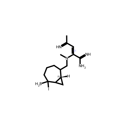 BC1(I)CCCC(CN(C)/C(=C\C(C)=N)C(=N)N)[C@@H]2CC21